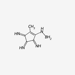 BNc1c(C)c(=N)c(=N)c1=N